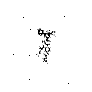 CCOC(=O)CC[C@H](NC(=O)c1cc(C(C)(C)O)nc(-c2ccccc2)n1)C(=O)N1CCN(OC(=O)OCC)CC1